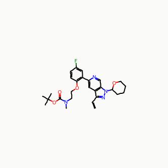 C=Cc1nn(C2CCCCO2)c2cnc(-c3cc(F)ccc3OCCN(C)C(=O)OC(C)(C)C)cc12